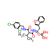 CC(C)C(C(=O)NCc1ccc(Cl)cc1Cl)C(=O)N[C@@H](Cc1coc2ccccc12)OB(O)O